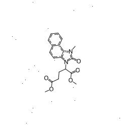 COC(=O)CCC(C(=O)OC)n1c(=O)n(C)c2c3ccccc3ccc21